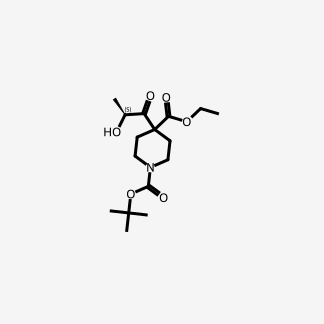 CCOC(=O)C1(C(=O)[C@H](C)O)CCN(C(=O)OC(C)(C)C)CC1